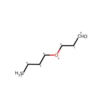 O=CCCOCCC[SiH3]